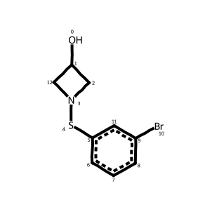 OC1CN(Sc2cccc(Br)c2)C1